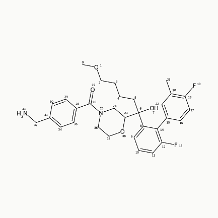 COCCCCC(O)(c1cccc(F)c1-c1ccc(F)c(C)c1)C1CN(C(=O)c2ccc(CN)cc2)CCO1